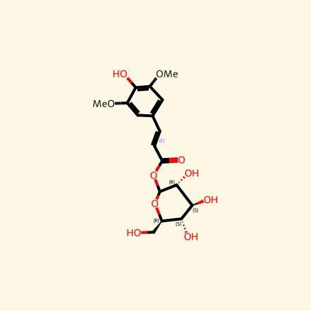 COc1cc(/C=C/C(=O)OC2O[C@H](CO)[C@@H](O)[C@H](O)[C@H]2O)cc(OC)c1O